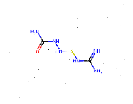 N=C(N)NSNNC(N)=O